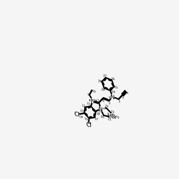 Br.C#CCN(C=CC1=[N+](CC)c2cc(Cl)c(Cl)cc2[N+]1(CC)CC)c1ccccc1